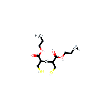 CCCOC(=O)[CH](CS)[Zn][CH](CS)C(=O)OCCC